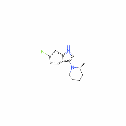 C[C@H]1CCCCN1c1c[nH]c2cc(F)ccc12